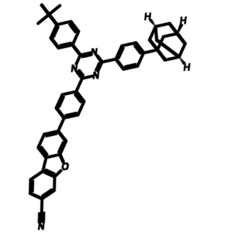 CC(C)(C)c1ccc(-c2nc(-c3ccc(-c4ccc5c(c4)oc4cc(C#N)ccc45)cc3)nc(-c3ccc(C45C[C@H]6C[C@@H](C4)C[C@@H](C5)C6)cc3)n2)cc1